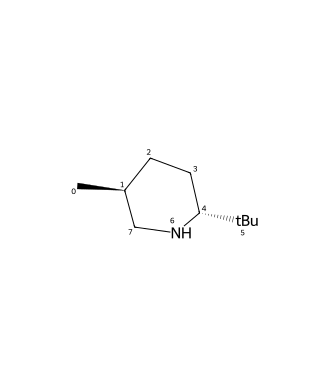 C[C@H]1CC[C@H](C(C)(C)C)NC1